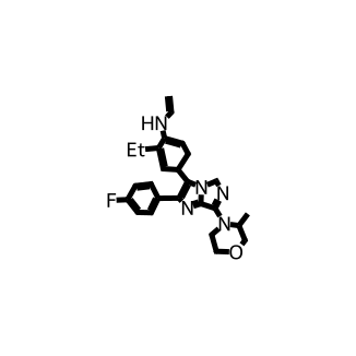 C=CNC1=CCC(c2c(-c3ccc(F)cc3)nc3n2CN=C3N2CCOCC2C)C=C1CC